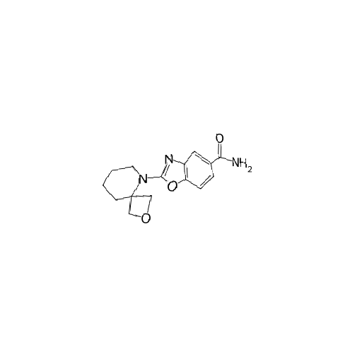 NC(=O)c1ccc2oc(N3CCCCC34COC4)nc2c1